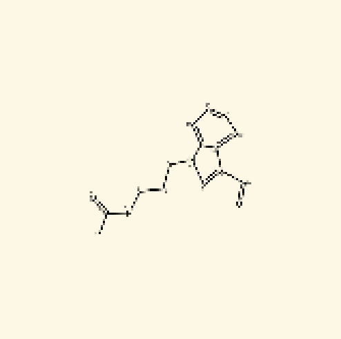 CC(=O)NCCCn1cc(C=O)c2ccccc21